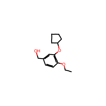 CCOc1ccc(CO)cc1OC1CCCC1